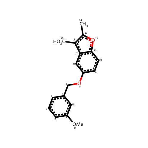 COc1cccc(COc2ccc3oc(C)c(C(=O)O)c3c2)c1